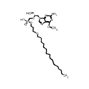 CCCCCCCCCCCCCCCCOCCCOP(=O)(O)CO[C@H](CO)Cn1cnc2c(OC)nc(N)nc21